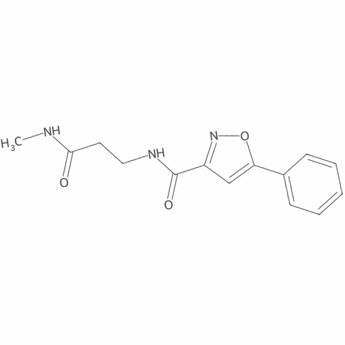 CNC(=O)CCNC(=O)c1cc(-c2ccccc2)on1